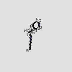 CC(C)CCCCC/C=C/C=C/C(=O)N[C@H](C(=O)N[C@H]1CC(=O)CCNC(=O)/C=C/[C@H](C)NC1=O)[C@@H](C)O